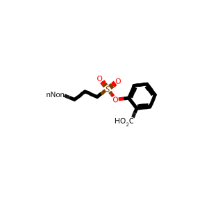 CCCCCCCCCCCCS(=O)(=O)Oc1ccccc1C(=O)O